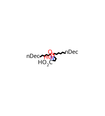 CCCCCCCCCCCCCCCCOC(=O)CCCCCCCCCCCCCCC.O=C(O)C1CCCN1O